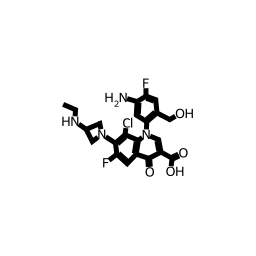 CCNC1CN(c2c(F)cc3c(=O)c(C(=O)O)cn(-c4cc(N)c(F)cc4CO)c3c2Cl)C1